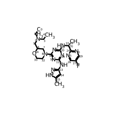 CCN(CC)CC1CN(c2nc(Nc3cc(C)[nH]n3)nc(N[C@@H](C)c3ncc(F)cn3)n2)CCO1